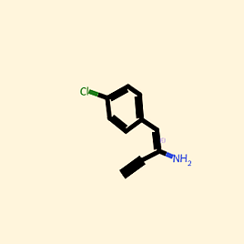 C#C/C(N)=C\c1ccc(Cl)cc1